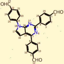 O=Cc1ccc(-c2nc(-c3ccc(C=O)cc3)c3ccn(-c4ccc(C=O)cc4)c3n2)cc1